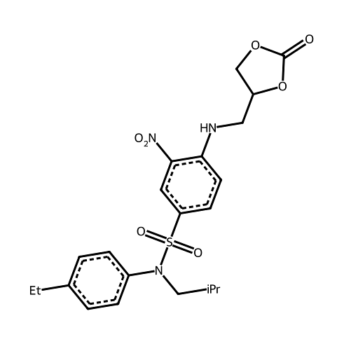 CCc1ccc(N(CC(C)C)S(=O)(=O)c2ccc(NCC3COC(=O)O3)c([N+](=O)[O-])c2)cc1